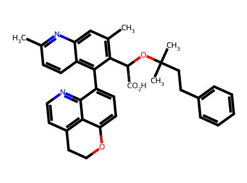 Cc1ccc2c(-c3ccc4c5c(ccnc35)CCO4)c(C(OC(C)(C)CCc3ccccc3)C(=O)O)c(C)cc2n1